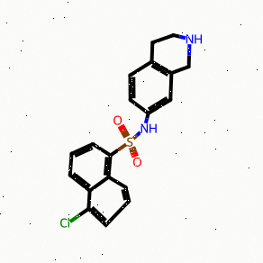 O=S(=O)(Nc1ccc2c(c1)CNCC2)c1cccc2c(Cl)cccc12